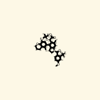 COc1ccc(C(=O)N2CCc3c2cc(C)c([C@H](OC(C)(C)C)C(=O)O)c3-c2cc(F)c3c(c2C)CCCO3)c(C(F)(F)F)c1